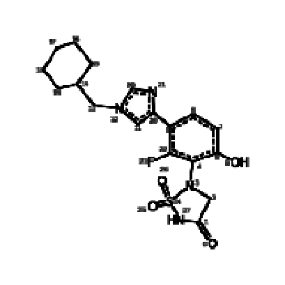 O=C1CN(c2c(O)ccc(-c3cn(CC4CCCCC4)cn3)c2F)S(=O)(=O)N1